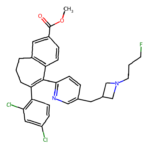 COC(=O)c1ccc2c(c1)CCCC(c1ccc(Cl)cc1Cl)=C2c1ccc(CC2CN(CCCF)C2)cn1